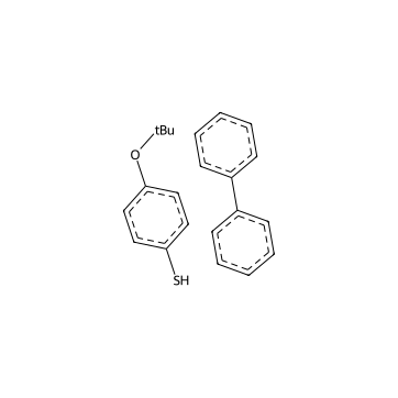 CC(C)(C)Oc1ccc(S)cc1.c1ccc(-c2ccccc2)cc1